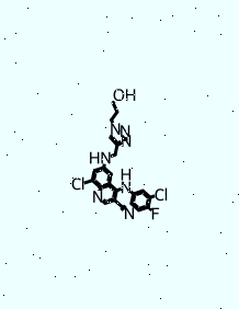 N#Cc1cnc2c(Cl)cc(NCc3cn(CCCO)nn3)cc2c1Nc1ccc(F)c(Cl)c1